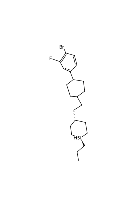 CCC[Si@H]1CC[C@H](CCC2CCC(c3ccc(Br)c(F)c3)CC2)CC1